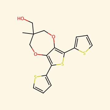 CC1(CO)COc2c(-c3cccs3)sc(-c3cccs3)c2OC1